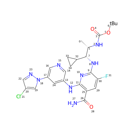 C[C@H](NC(=O)OC(C)(C)C)[C@H](Nc1nc(Nc2cncc(-n3cc(Cl)cn3)c2)c(C(N)=O)cc1F)C1CC1